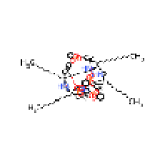 CCCCCCCCCCCC[C@]12c3cc4cc(c3)OP(=O)(c3ccccc3)Oc3cc5cc(c3)[C@](CCCCCCCCCCCC)(c3ccc([nH]3)[C@]3(CCCCCCCCCCCC)c6cc(cc(c6)OP(=O)(c6ccccc6)O5)OP(=O)(c5ccccc5)Oc5cc(cc(c5)[C@](CCCCCCCCCCCC)(c5ccc1[nH]5)c1ccc3[nH]1)OP(=O)(c1ccccc1)O4)c1ccc2[nH]1